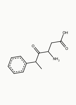 CC(C(=O)C(N)CC(=O)O)c1ccccc1